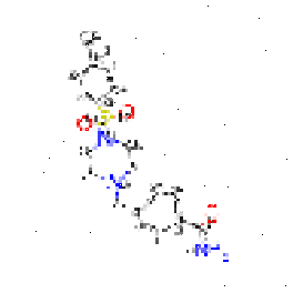 NC(=O)c1ccc(CN2CCN(S(=O)(=O)c3ccc(C(F)(F)F)cc3)CC2)cc1